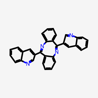 c1ccc2c(c1)/N=C(/c1cnc3ccccc3c1)c1ccccc1/N=C\2c1cnc2ccccc2c1